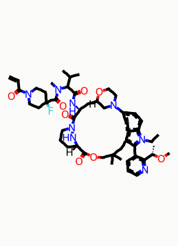 C=CC(=O)N1CCC(F)(C(=O)N(C)C(C(=O)N[C@H]2C[C@H]3CN(CCO3)c3ccc4c(c3)c(c(-c3cccnc3[C@H](C)OC)n4CC)CC(C)(C)COC(=O)[C@@H]3CCCN(N3)C2=O)C(C)C)CC1